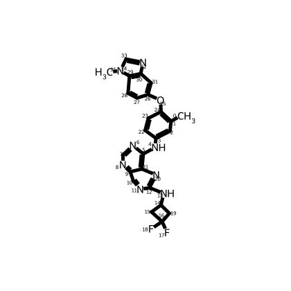 Cc1cc(Nc2ncnc3cnc(NC4CC(F)(F)C4)nc23)ccc1Oc1ccc2c(c1)ncn2C